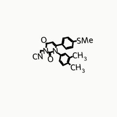 CSc1ccc(-c2cc(=O)n(CC#N)c(=O)n2-c2ccc(C)c(C)c2)cc1